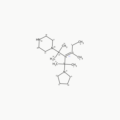 CC/C(C)=C(/C(C)(C)N1CCCC1)C(C)(C)N1CCNCC1